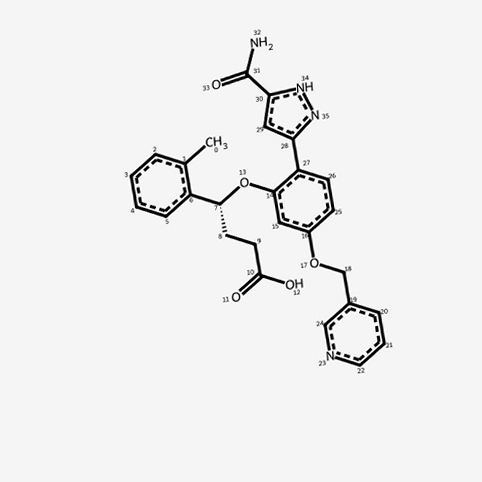 Cc1ccccc1[C@@H](CCC(=O)O)Oc1cc(OCc2cccnc2)ccc1-c1cc(C(N)=O)[nH]n1